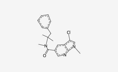 CN(C(=O)c1cnc2c(c1)c(Cl)cn2C)C(C)(C)Cc1ccccc1